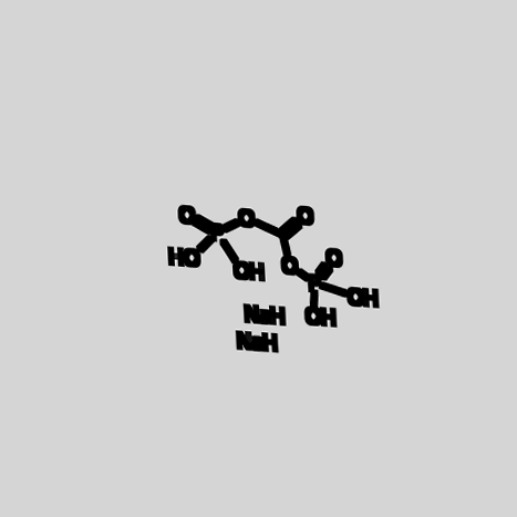 O=C(OP(=O)(O)O)OP(=O)(O)O.[NaH].[NaH]